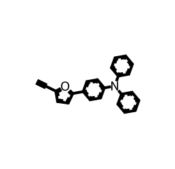 C#Cc1ccc(-c2ccc(N(c3ccccc3)c3ccccc3)cc2)o1